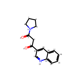 O=C(CC(=O)N1CCCC1)c1cnc2ccccc2c1